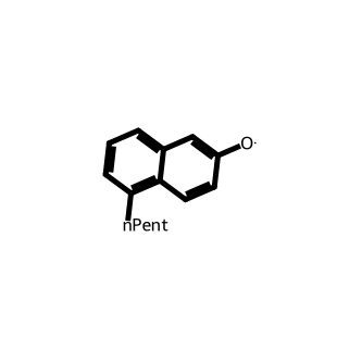 CCCCCc1cccc2cc([O])ccc12